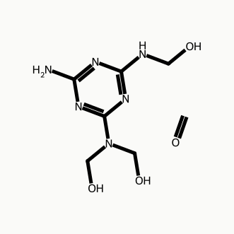 C=O.Nc1nc(NCO)nc(N(CO)CO)n1